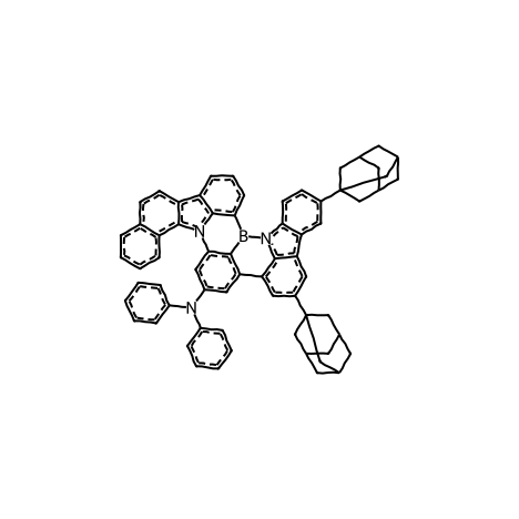 c1ccc(N(c2ccccc2)c2cc3c4c(c2)-n2c5c(cccc5c5ccc6ccccc6c52)B4n2c4ccc(C56CC7CC(CC(C7)C5)C6)cc4c4cc(C56CC7CC(CC(C7)C5)C6)cc-3c42)cc1